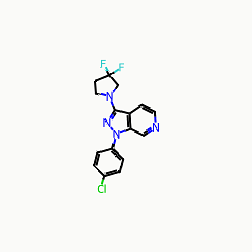 FC1(F)CCN(c2nn(-c3ccc(Cl)cc3)c3cnccc23)C1